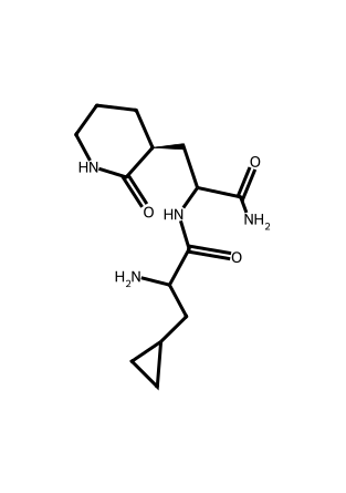 NC(=O)C(C[C@@H]1CCCNC1=O)NC(=O)C(N)CC1CC1